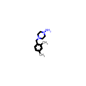 Cc1ccc(CN2CCN(N)CC2)c(C)c1